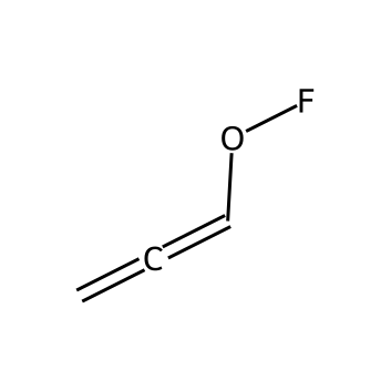 C=C=COF